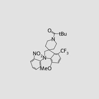 COc1ccc(C(F)(F)F)c2c1N(c1ccccc1[N+](=O)[O-])CC21CCN(C(=O)C(C)(C)C)CC1